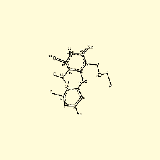 CCOCn1c([Se]c2cc(C)cc(C)c2)c(C(C)C)c(=O)[nH]c1=S